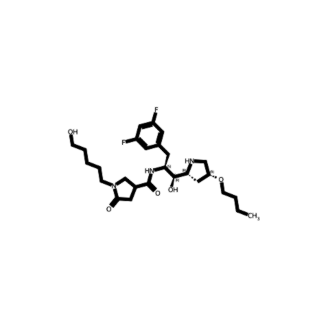 CCCCO[C@H]1CN[C@@H]([C@@H](O)[C@H](Cc2cc(F)cc(F)c2)NC(=O)C2CC(=O)N(CCCCCO)C2)C1